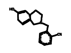 N#Cc1ccccc1CN1CCN2C=C(O)CC=C2C1